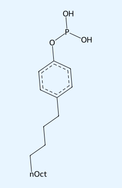 CCCCCCCCCCCCc1ccc(OP(O)O)cc1